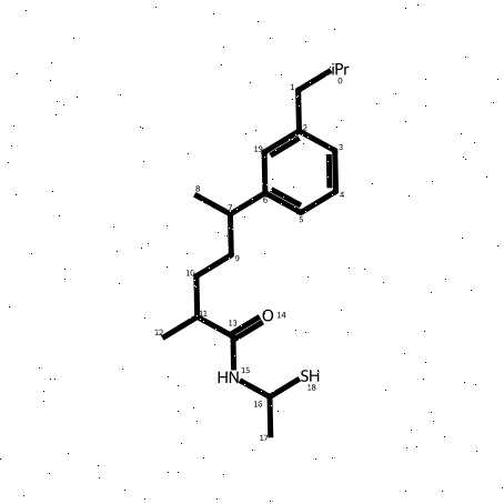 CC(C)Cc1cccc(C(C)CCC(C)C(=O)NC(C)S)c1